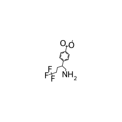 COC(=O)c1ccc(C(CN)CCC(F)(F)F)cc1